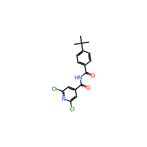 CC(C)(C)c1ccc(C(=O)NC(=O)c2cc(Cl)nc(Cl)c2)cc1